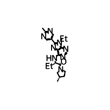 CC[C@@H](Nc1ncnc2c1nc(-c1cnc(C)nc1)n2CC)C(=O)N1CC[C@@H](C)C1